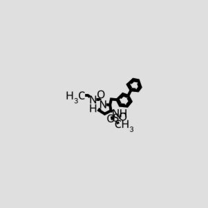 CCNC(=O)N1CCC(NS(C)(=O)=O)C1Cc1cccc(-c2ccccc2)c1